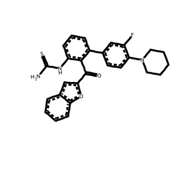 NC(=S)Nc1cccc(-c2ccc(N3CCCCC3)c(F)c2)c1C(=O)c1cc2ccccc2o1